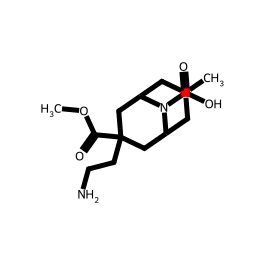 COC(=O)C1(CCN)CC2CN(C)CC(C1)N2C(=O)O